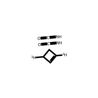 N=C=O.N=C=O.[2H]C1=CC([2H])C1